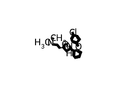 CN(C)CCC[C@@H]1C[C@@H]2c3ccccc3Oc3ccc(Cl)cc3N2O1